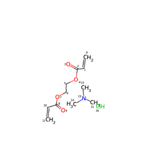 C=CC(=O)OCCOC(=O)C=C.CN(C)C.Cl